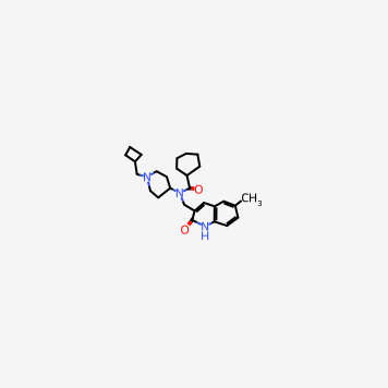 Cc1ccc2[nH]c(=O)c(CN(C(=O)C3CCCCC3)C3CCN(CC4CCC4)CC3)cc2c1